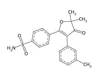 Cc1cccc(C2=C(c3ccc(S(N)(=O)=O)cc3)OC(C)(C)C2=O)c1